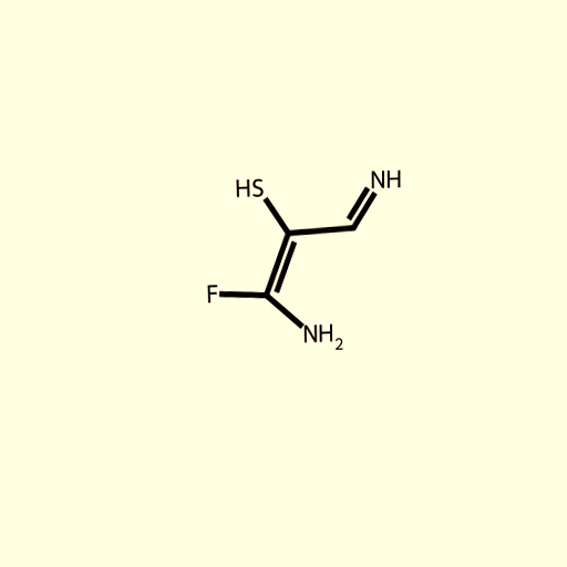 N=C/C(S)=C(\N)F